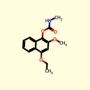 CCOc1cc(OC)c(OC(=O)NC)c2ccccc12